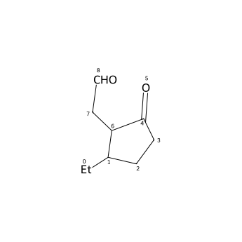 CCC1CCC(=O)C1CC=O